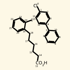 Clc1ccc(-c2ccccc2)cc1.O=C(O)CCCCCc1ccccc1I